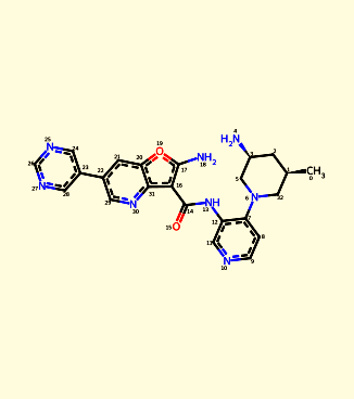 C[C@@H]1C[C@H](N)CN(c2ccncc2NC(=O)c2c(N)oc3cc(-c4cncnc4)cnc23)C1